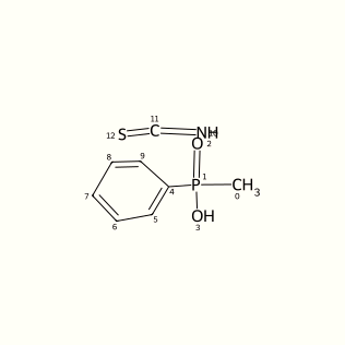 CP(=O)(O)c1ccccc1.N=C=S